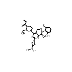 C=CC(=O)N1CCN(c2nc(N3CC(N(CC)CC)C3)nc3c(=O)n(-c4c(O)cccc4F)ncc23)CC1CC#N